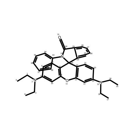 CCN(CC)c1ccc2c(c1)Oc1cc(N(CC)CC)ccc1C21c2ccccc2C(=O)N1c1ccccc1